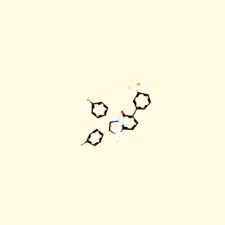 CC(=O)N1c2ccc(-c3cccc(S(C)(=O)=O)c3)c(=O)n2[C@@H](c2ccc(Cl)cc2)[C@H]1c1ccc(Cl)cc1